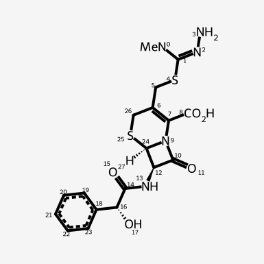 CN/C(=N\N)SCC1=C(C(=O)O)N2C(=O)[C@@H](NC(=O)[C@H](O)c3ccccc3)[C@H]2SC1